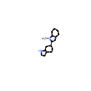 Cn1c(-c2ccc3cc[nH]c3c2)cc2c[c]ccc21